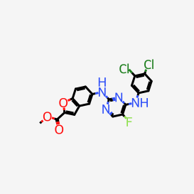 COC(=O)c1cc2cc(Nc3ncc(F)c(Nc4ccc(Cl)c(Cl)c4)n3)ccc2o1